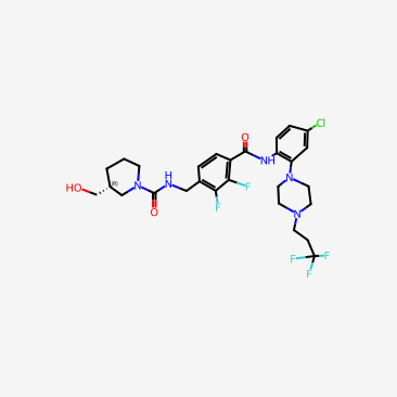 O=C(Nc1ccc(Cl)cc1N1CCN(CCC(F)(F)F)CC1)c1ccc(CNC(=O)N2CCC[C@@H](CO)C2)c(F)c1F